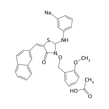 CC(=O)O.COc1ccccc1CON1C(=O)C(=Cc2ccc3ccccc3c2)SC1Nc1ccc[c]([Na])c1